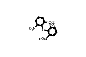 CCCCCCCCc1cccc([N+](=O)[O-])c1Oc1c(CCCCCCCC)cccc1[N+](=O)[O-]